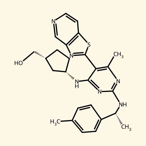 Cc1ccc([C@@H](C)Nc2nc(C)c(-c3nc4cnccc4s3)c(N[C@H]3CC[C@@H](CO)C3)n2)cc1